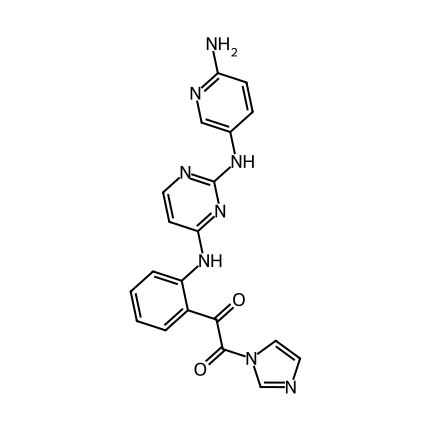 Nc1ccc(Nc2nccc(Nc3ccccc3C(=O)C(=O)n3ccnc3)n2)cn1